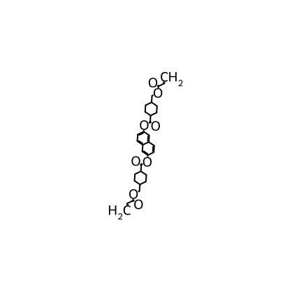 C=CC(=O)OCC1CCC(C(=O)Oc2ccc3cc(OC(=O)C4CCC(COC(=O)C=C)CC4)ccc3c2)CC1